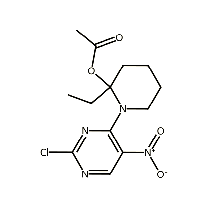 CCC1(OC(C)=O)CCCCN1c1nc(Cl)ncc1[N+](=O)[O-]